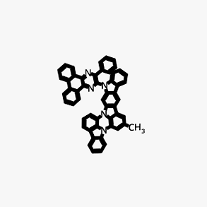 Cc1cc2c3cc4c5ccccc5n(-c5nc6c7ccccc7c7ccccc7c6nc5-c5ccccc5)c4cc3n3c4cccc5c6ccccc6n(c(c1)c23)c54